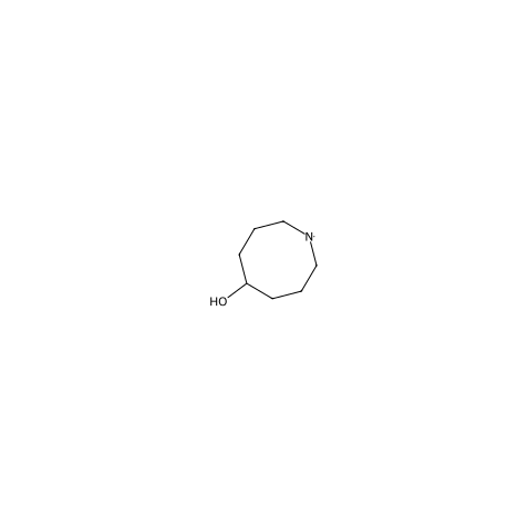 OC1CCC[N]CCC1